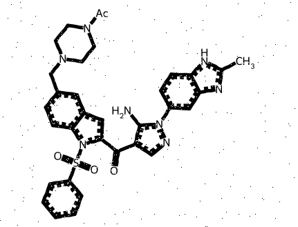 CC(=O)N1CCN(Cc2ccc3c(c2)cc(C(=O)c2cnn(-c4ccc5[nH]c(C)nc5c4)c2N)n3S(=O)(=O)c2ccccc2)CC1